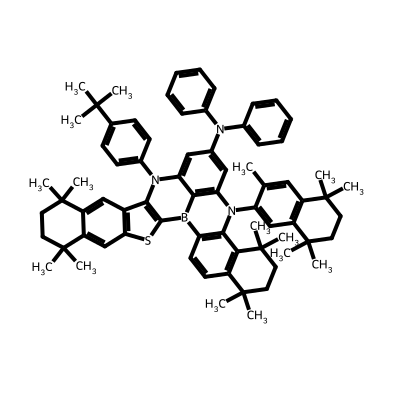 Cc1cc2c(cc1N1c3cc(N(c4ccccc4)c4ccccc4)cc4c3B(c3ccc5c(c31)C(C)(C)CCC5(C)C)c1sc3cc5c(cc3c1N4c1ccc(C(C)(C)C)cc1)C(C)(C)CCC5(C)C)C(C)(C)CCC2(C)C